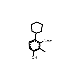 [CH2]c1c(O)ccc(C2CCCCC2)c1OC